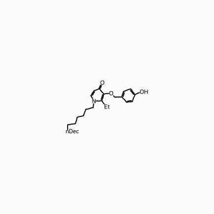 CCCCCCCCCCCCCCCCn1ccc(=O)c(OCc2ccc(O)cc2)c1CC